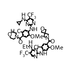 CCNc1nc(Nc2cc(OC)c(C(=O)N3CC4(COC4)C3)cc2Cl)ncc1C(F)(F)F.COc1cc(C(=O)N2CCOCC2)c(C)cc1Nc1ncc(C(F)(F)F)c(NC2CC2)n1